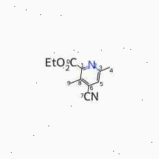 CCOC(=O)c1nc(C)cc(C#N)c1C